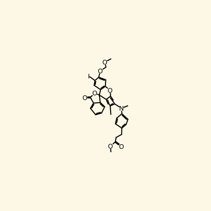 COCOc1cc2c(cc1I)C1(OC(=O)c3ccccc31)c1cc(C)c(N(C)c3ccc(CCC(=O)OC)cc3)cc1O2